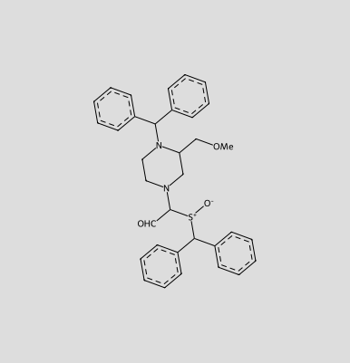 COCC1CN(C(C=O)[S+]([O-])C(c2ccccc2)c2ccccc2)CCN1C(c1ccccc1)c1ccccc1